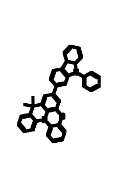 CC1(C)c2ccccc2N2c3ccccc3Oc3cc(-c4ccc5c(c4)N(c4ccccc4)C4C=CC=CC54)cc1c32